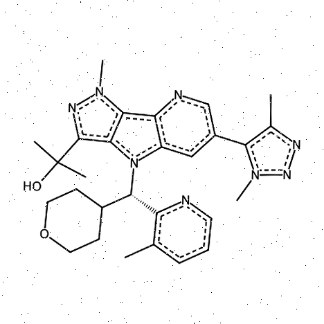 Cc1cccnc1[C@H](C1CCOCC1)n1c2cc(-c3c(C)nnn3C)cnc2c2c1c(C(C)(C)O)nn2C